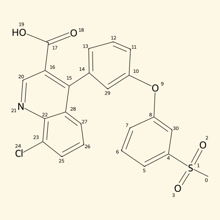 CS(=O)(=O)c1cccc(Oc2cccc(-c3c(C(=O)O)cnc4c(Cl)cccc34)c2)c1